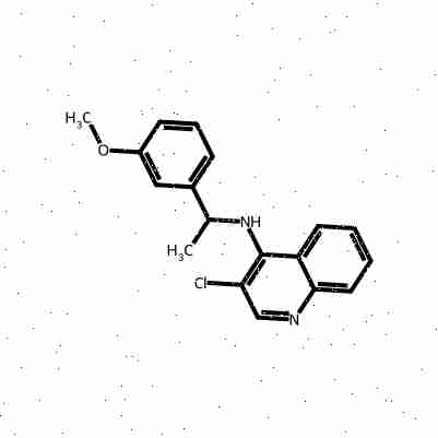 COc1cccc(C(C)Nc2c(Cl)cnc3ccccc23)c1